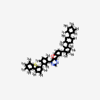 [2H]C1=C(c2cc([2H])c(-c3c([2H])c([2H])c([2H])c([2H])c3[2H])c([2H])c2[2H])C([2H])([2H])C([2H])C([2H])=C1c1ccc2oc3c(-c4c([2H])cc([2H])c(-c5c([2H])c([2H])c([2H])c6c5sc5c([2H])c([2H])c([2H])c([2H])c56)c4[2H])ncnc3c2c1